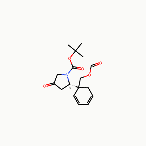 CC(C)(C)OC(=O)N1CC(=O)C[C@H]1C1(COC=O)C=CC=CC1